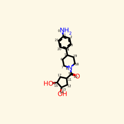 Nc1ccc(C2CCN(C(=O)C3CC(O)C(O)C3)CC2)cc1